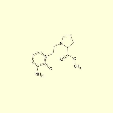 COC(=O)C1CCCN1CCn1cccc(N)c1=O